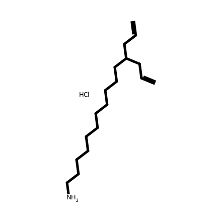 C=CCC(CC=C)CCCCCCCCCCCN.Cl